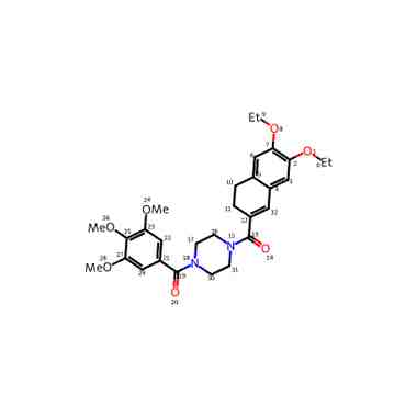 CCOc1cc2c(cc1OCC)CCC(C(=O)N1CCN(C(=O)c3cc(OC)c(OC)c(OC)c3)CC1)=C2